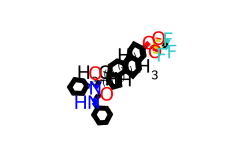 C[C@]12CC[C@H]3[C@@H](CC=C4C=C(OS(=O)(=O)C(F)(F)F)CC[C@@]43C)[C@@H]1CC[C@@H]2C(=O)N(C(=O)NC1CCCCC1)C1CCCCC1